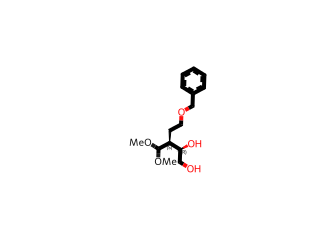 COC(OC)[C@@H](CCOCc1ccccc1)[C@@H](O)CO